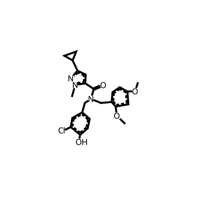 COc1ccc(CN(Cc2ccc(O)c(Cl)c2)C(=O)c2cc(C3CC3)nn2C)c(OC)c1